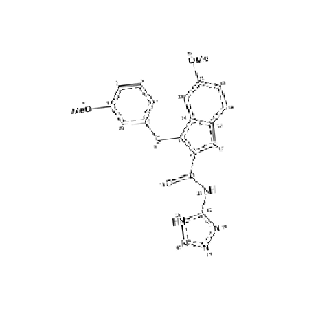 COc1cccc(Sc2c(C(=O)Nc3nnn[nH]3)sc3ccc(OC)cc23)c1